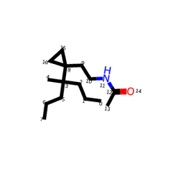 CCCC(C)(CCC)C1(CCNC(C)=O)CC1